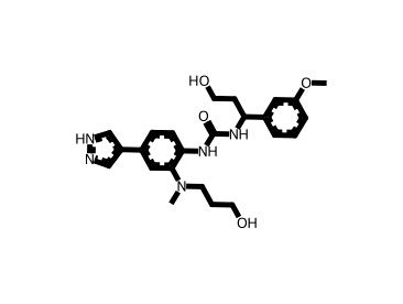 COc1cccc(C(CCO)NC(=O)Nc2ccc(-c3cn[nH]c3)cc2N(C)CCCO)c1